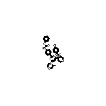 C[C@H]1COCCN1c1cc(C2(S(=O)(=O)c3ccc(Cl)cc3)CCOCC2)nc(-c2ccc(NC(=O)Oc3ccccc3)cc2)n1